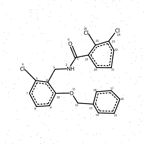 O=C(NCc1c(Cl)cccc1OCc1ccccc1)c1cccc(Cl)c1Cl